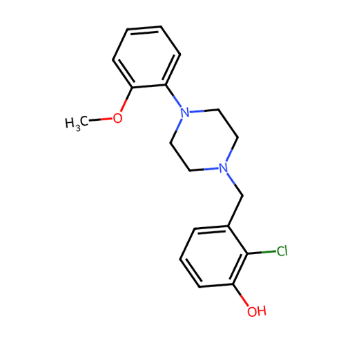 COc1ccccc1N1CCN(Cc2cccc(O)c2Cl)CC1